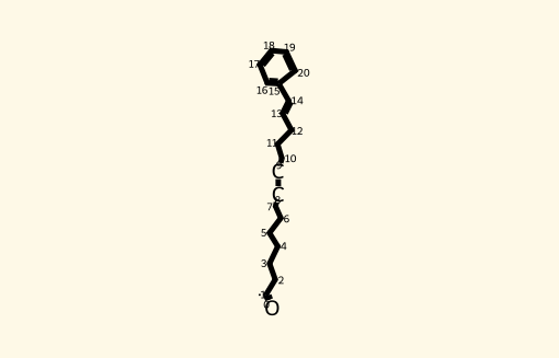 O=[C]CCCCCCCCCCCC=Cc1ccccc1